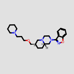 c1ccc2c(N3CCN4C[C@H](COCCCN5CCCCC5)CC[C@H]4C3)noc2c1